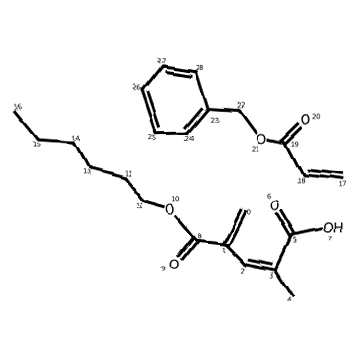 C=C(C=C(C)C(=O)O)C(=O)OCCCCCC.C=CC(=O)OCc1ccccc1